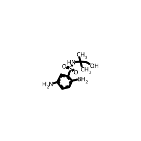 Bc1ccc(N)cc1S(=O)(=O)NC(C)(C)CO